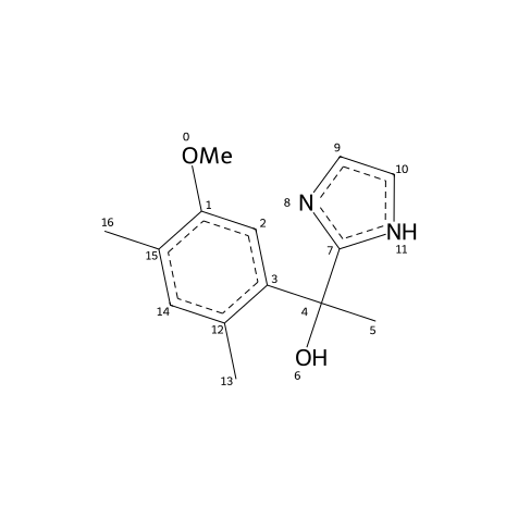 COc1cc(C(C)(O)c2ncc[nH]2)c(C)cc1C